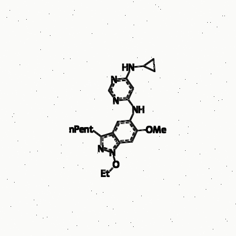 CCCCCc1nn(OCC)c2cc(OC)c(Nc3cc(NC4CC4)ncn3)cc12